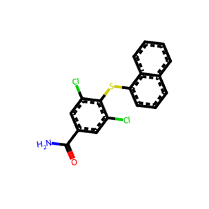 NC(=O)c1cc(Cl)c(Sc2cccc3ccccc23)c(Cl)c1